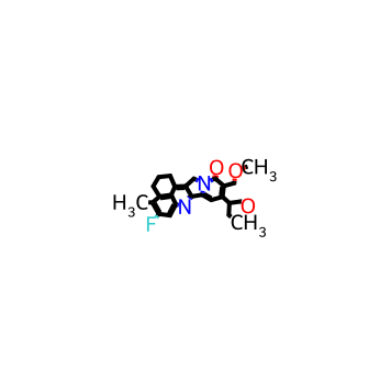 CCC(C=O)c1cc2n(c(=O)c1COC)Cc1c-2nc2cc(F)c(C)c3c2c1CCC3